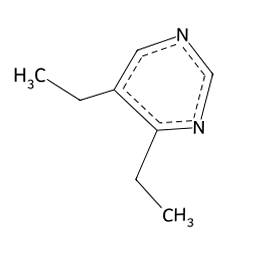 CCc1cncnc1CC